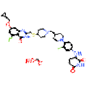 O=C1CCC(Nc2ccc(N3CCC(CN4CCC(SCc5nc6cc(OCC7CC7)cc(F)c6c(=O)[nH]5)CC4)CC3)c(F)c2)C(=O)N1.O=CO